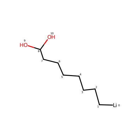 [Li][CH2]CCCCCCC(O)O